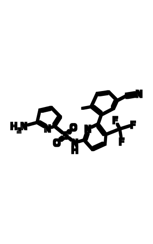 Cc1ccc(C#N)cc1-c1nc(NS(=O)(=O)c2cccc(N)n2)ccc1C(F)(F)F